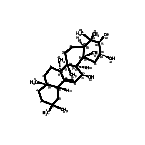 CC1(C)CC[C@]2(C)CC[C@]3(C)C(=C[C@@H](O)[C@@H]4[C@@]5(C)C[C@@H](O)[C@H](O)C(C)(C)[C@@H]5CC[C@]43C)[C@@H]2C1